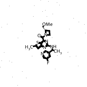 COC[C@@H]1CCN1C(=O)c1nc(NC(C)c2cncc(F)c2)nc2cc(C)sc12